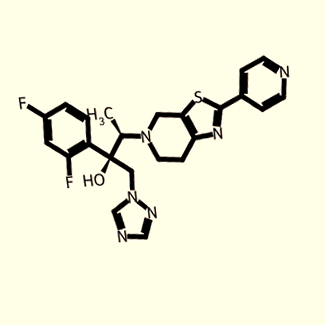 C[C@@H](N1CCc2nc(-c3ccncc3)sc2C1)[C@](O)(Cn1cncn1)c1ccc(F)cc1F